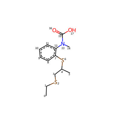 CCSCC(C)Sc1ccccc1N(C)C(=O)O